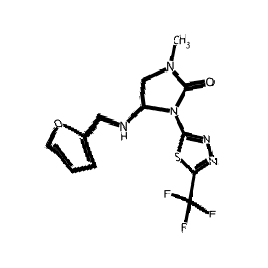 CN1CC(NCc2ccco2)N(c2nnc(C(F)(F)F)s2)C1=O